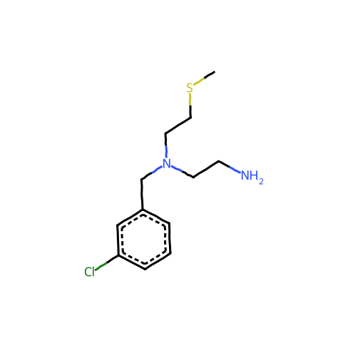 CSCCN(CCN)Cc1cccc(Cl)c1